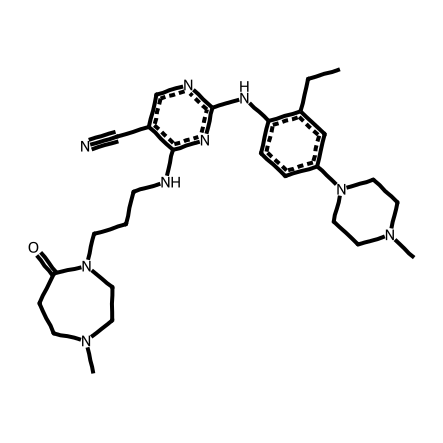 CCc1cc(N2CCN(C)CC2)ccc1Nc1ncc(C#N)c(NCCCN2CCN(C)CCC2=O)n1